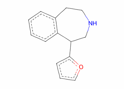 c1coc(C2CNCCc3ccccc32)c1